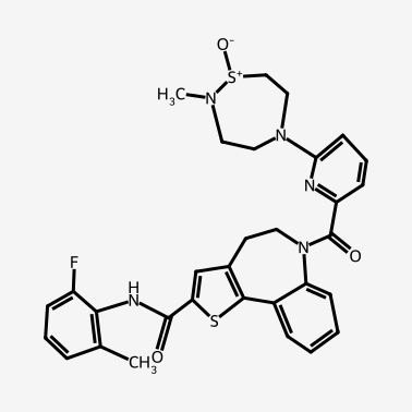 Cc1cccc(F)c1NC(=O)c1cc2c(s1)-c1ccccc1N(C(=O)c1cccc(N3CCN(C)[S+]([O-])CC3)n1)CC2